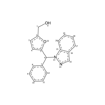 OCc1ccc(C(c2ccccc2)n2ncc3ccccc32)o1